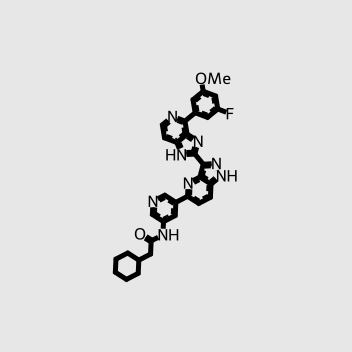 COc1cc(F)cc(-c2nccc3[nH]c(-c4n[nH]c5ccc(-c6cncc(NC(=O)CC7CCCCC7)c6)nc45)nc23)c1